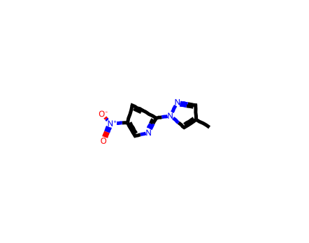 Cc1cnn(-c2ccc([N+](=O)[O-])cn2)c1